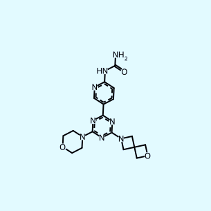 NC(=O)Nc1ccc(-c2nc(N3CCOCC3)nc(N3CC4(COC4)C3)n2)cn1